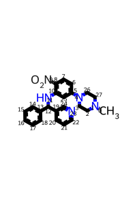 CN1CCN(c2ccc([N+](=O)[O-])c(NC(c3ccccc3)c3cccnc3)c2)CC1